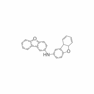 C1=CC2Oc3ccc(Nc4ccc5oc6ccccc6c5c4)cc3C2C=C1